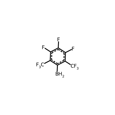 Bc1c(C(F)(F)F)c(F)c(F)c(F)c1C(F)(F)F